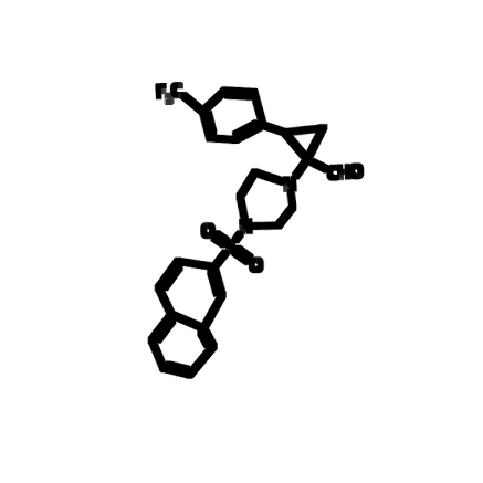 O=CC1(N2CCN(S(=O)(=O)c3ccc4ccccc4c3)CC2)CC1c1ccc(C(F)(F)F)cc1